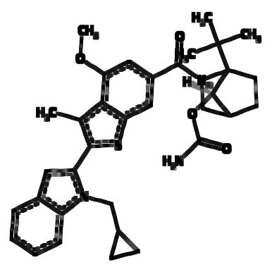 COc1cc(C(=O)N2CC3CCC2(C(C)(C)C)[C@@H]3OC(N)=O)cc2sc(-c3cc4ccccc4n3CC3CC3)c(C)c12